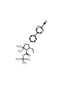 CC(C)(C)OC(=O)N1[C@H](CF)[C@@H](c2ccc(-c3cnc(C#N)nc3)cc2)OC1(C)C